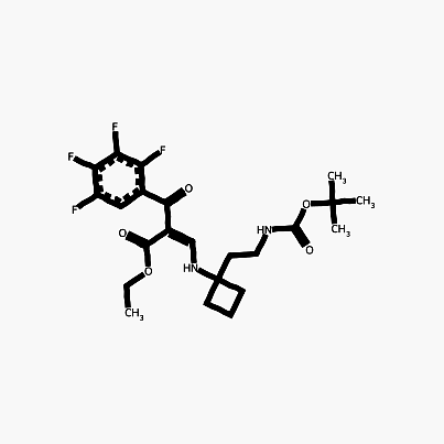 CCOC(=O)C(=CNC1(CCNC(=O)OC(C)(C)C)CCC1)C(=O)c1cc(F)c(F)c(F)c1F